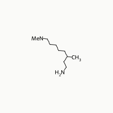 CNCCCCCC(C)CCN